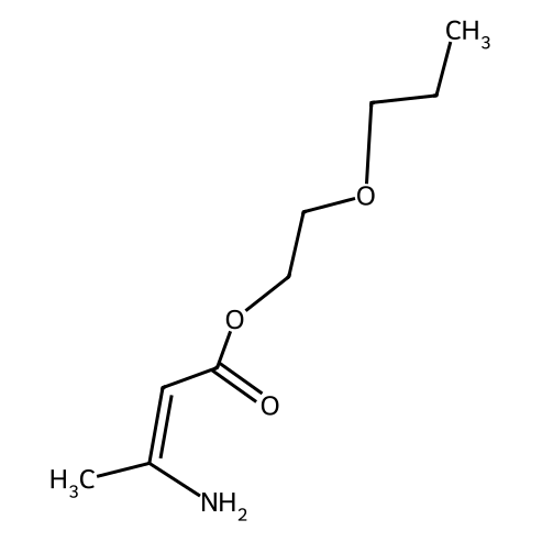 CCCOCCOC(=O)C=C(C)N